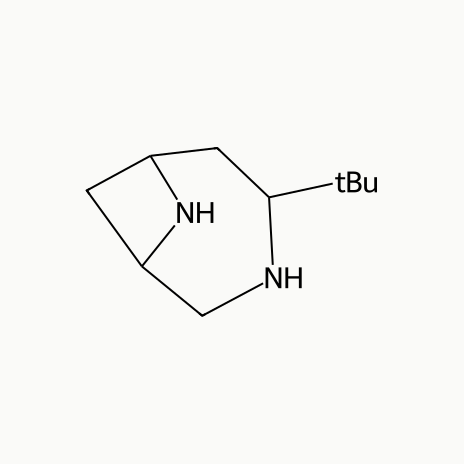 CC(C)(C)C1CC2CC(CN1)N2